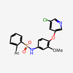 COc1cc(NS(=O)(=O)c2ccccc2C(C)=O)ccc1Oc1cncc(Cl)c1